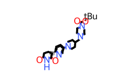 CC(C)(C)OC(=O)N1CCN(CC2CCN(c3ccc([C@H]4CCC(=O)NC4=O)nc3)CC2)CC1